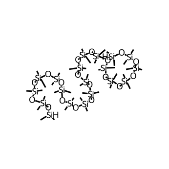 C[SiH](C)O[Si](C)(C)O[Si](C)(C)O[Si](C)(C)O[Si](C)(C)O[Si](C)(C)O[Si](C)(C)O[Si](C)(C)O[Si](C)(C)O[Si](C)(C)O[Si](C)(C)O[Si](C)(C)O[Si](C)(C)O[Si](C)(C)O[Si](C)(C)O[Si](C)(C)O[Si](C)(C)O[Si](C)(C)O[SiH](C)C